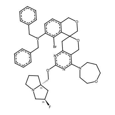 F[C@H]1CN2CCC[C@@]2(COc2nc3c(c(N4CCCOCC4)n2)COC2(COCc4ccc(N(Cc5ccccc5)Cc5ccccc5)c(Br)c42)C3)C1